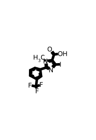 Cn1c(-c2cccc(C(F)(F)F)c2)nc(I)c1C(=O)O